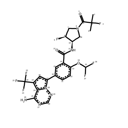 CC(C)(F)C(=O)N1C[C@H](F)[C@H](NC(=O)c2cc(-c3cc(C(F)(F)F)c4c(N)ncnn34)ccc2OC(F)F)C1